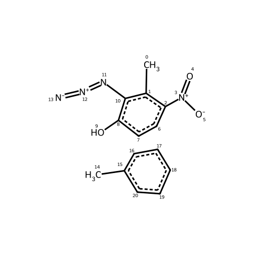 Cc1c([N+](=O)[O-])ccc(O)c1N=[N+]=[N-].Cc1ccccc1